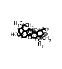 C=C(C)C1CCC2(CO)CCC3(C)C(CCC4C5(C)C=C(C=O)C(=O)C(C)(C)C5CCC43C)C12